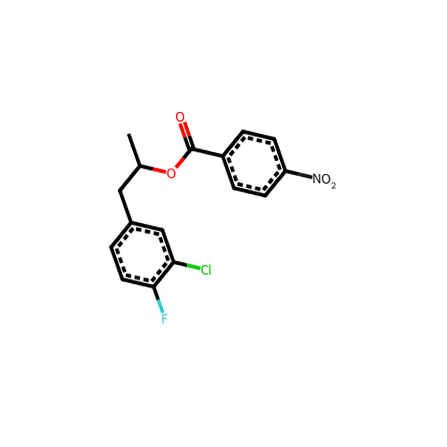 CC(Cc1ccc(F)c(Cl)c1)OC(=O)c1ccc([N+](=O)[O-])cc1